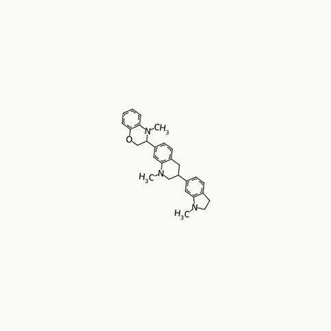 CN1CCc2ccc(C3Cc4ccc(C5COc6ccccc6N5C)cc4N(C)C3)cc21